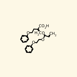 C=C(CCOc1ccccc1)C(=O)O.C=CC(=O)OCCOc1ccccc1